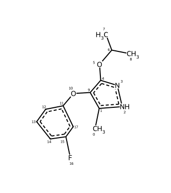 Cc1[nH]nc(OC(C)C)c1Oc1cccc(F)c1